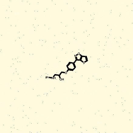 CC(C)NCC(O)COc1ccc(-c2noc3ccsc23)cc1